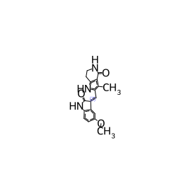 COc1ccc2c(c1)/C(=C/c1[nH]c3c(c1C)C(=O)NCC3)C(=O)N2